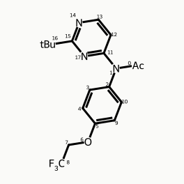 CC(=O)N(c1ccc(OCC(F)(F)F)cc1)c1ccnc(C(C)(C)C)n1